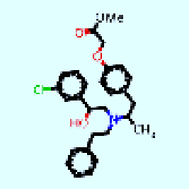 COC(=O)COc1ccc(CC(C)N(CCc2ccccc2)CC(O)c2cccc(Cl)c2)cc1